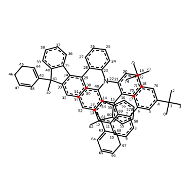 CC(C)(C)c1cc(-c2cccc3cccc(-c4ccccc4N(c4ccccc4-c4cccc5c4-c4ccccc4C5(C)C4=CCCC=C4)c4cccc5c4-c4ccccc4C5(C)C4=CC=CCC4)c23)cc(C(C)(C)C)c1